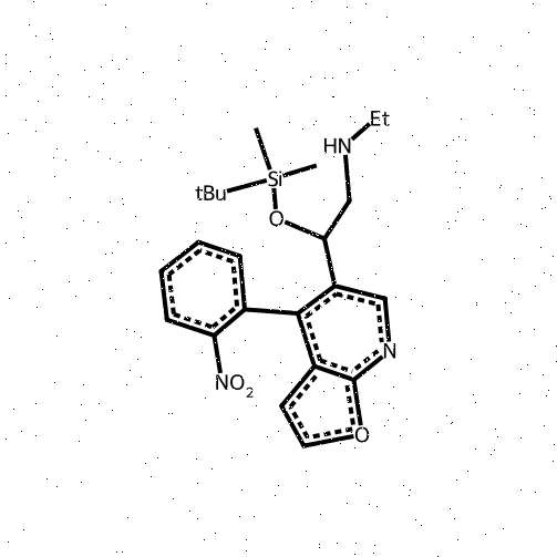 CCNCC(O[Si](C)(C)C(C)(C)C)c1cnc2occc2c1-c1ccccc1[N+](=O)[O-]